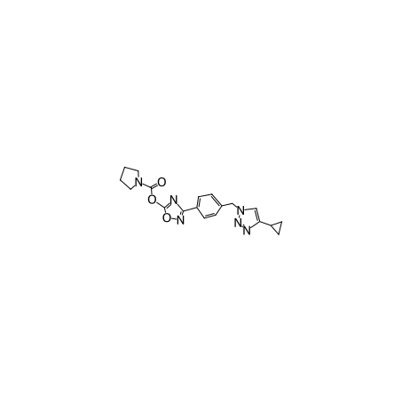 O=C(Oc1nc(-c2ccc(Cn3cc(C4CC4)nn3)cc2)no1)N1CCCC1